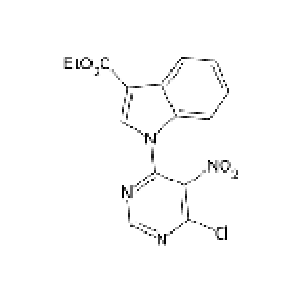 CCOC(=O)c1cn(-c2ncnc(Cl)c2[N+](=O)[O-])c2ccccc12